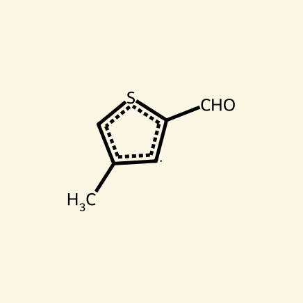 Cc1[c]c(C=O)sc1